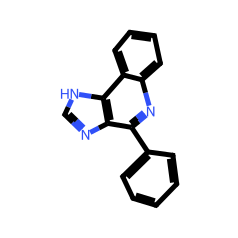 c1ccc(-c2nc3ccccc3c3[nH]cnc23)cc1